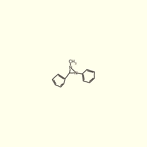 CN1C(c2ccccc2)N1c1ccccc1